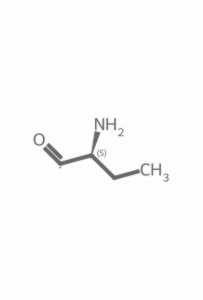 CC[C@H](N)[C]=O